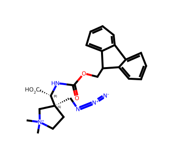 C[N+]1(C)CC[C@](CN=[N+]=[N-])([C@@H](NC(=O)OCC2c3ccccc3-c3ccccc32)C(=O)O)C1